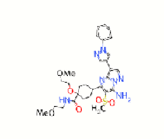 COCCNC(=O)C1(OCCOC)CCC(c2nc3c(-c4cnn(-c5ccccc5)c4)cnn3c(N)c2S(C)(=O)=O)CC1